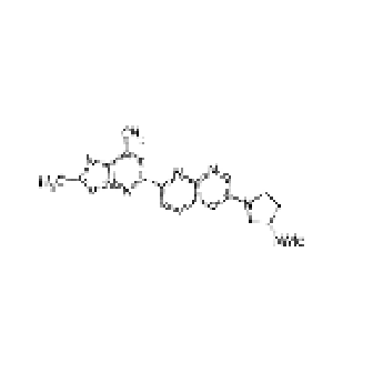 CN[C@H]1CCN(c2cnc3nc(-c4cc(C)c5nc(C)cn5n4)ccc3c2)C1